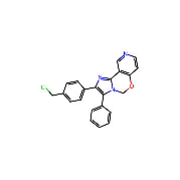 ClCc1ccc(-c2nc3n(c2-c2ccccc2)COc2ccncc2-3)cc1